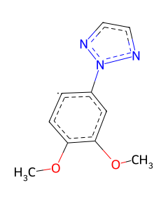 COc1c[c]c(-n2nccn2)cc1OC